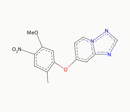 COc1cc(Oc2ccn3ncnc3c2)c(C)cc1[N+](=O)[O-]